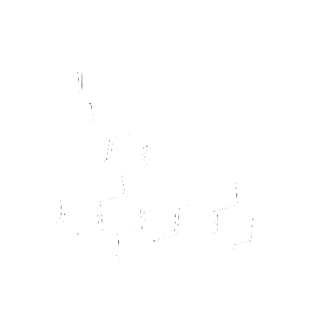 C=CC(=O)Nc1cccc(Nc2ccncc2N(N=O)c2ccc(OC3=CCCC(F)=C3C)cc2)c1